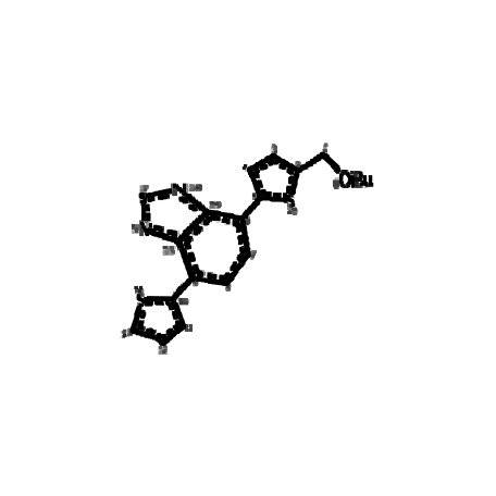 CC(C)COCc1ccc(-c2ccc(-c3cccs3)c3nsnc23)s1